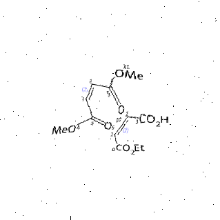 CCOC(=O)/C=C\C(=O)O.COC(=O)/C=C\C(=O)OC